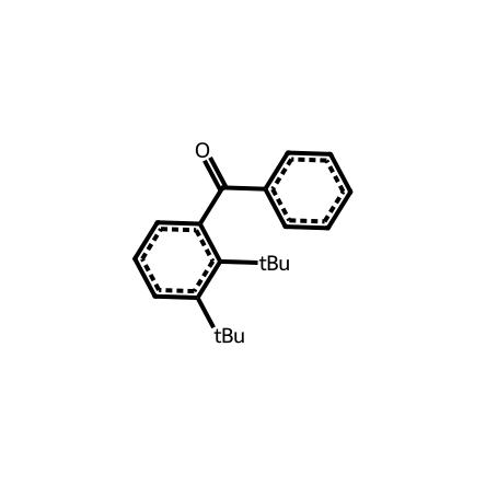 CC(C)(C)c1cccc(C(=O)c2ccccc2)c1C(C)(C)C